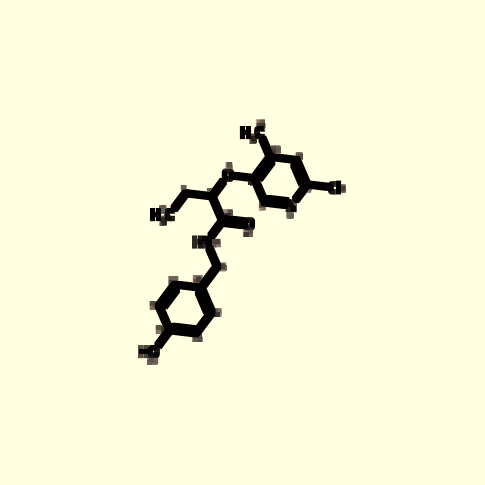 CCC(Oc1cnc(Cl)cc1C)C(=O)NCc1ccc(O)cc1